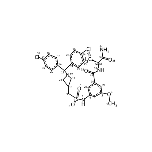 COc1cc(NS(=O)(=O)CC2CN(C(c3ccc(Cl)cc3)c3ccc(Cl)cc3)C2)cc(C(=O)N[C@@H](C)C(N)=O)c1